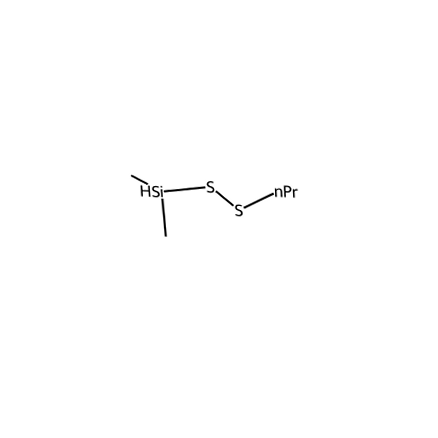 CCCSS[SiH](C)C